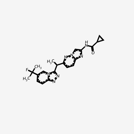 CC(c1ccc2nc(NC(=O)C3CC3)cn2n1)c1nnc2ccc(C(C)(C)F)cn12